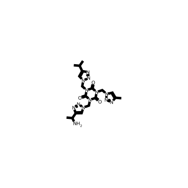 Cc1cn(Cn2c(=O)n(Cn3cc(C(C)C)nn3)c(=O)n(Cn3cc(C(C)N)nn3)c2=O)nn1